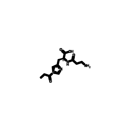 CCC(=O)n1cnc(C[C@H](NC(=O)CCN)C(=O)O)c1